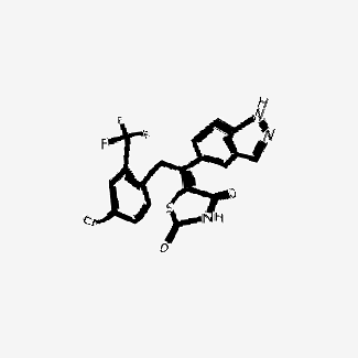 O=C1NC(=O)C(=C(Cc2ccc(Cl)cc2C(F)(F)F)c2ccc3[nH]ncc3c2)S1